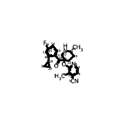 Cc1c(C#N)ccnc1O[C@]1(C(=O)c2ccc(F)cc2C2CC2)CC[C@@H](C)NC1